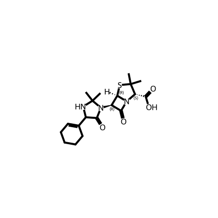 CC1(C)S[C@@H]2[C@H](N3C(=O)C(C4=CCCCC4)NC3(C)C)C(=O)N2[C@H]1C(=O)O